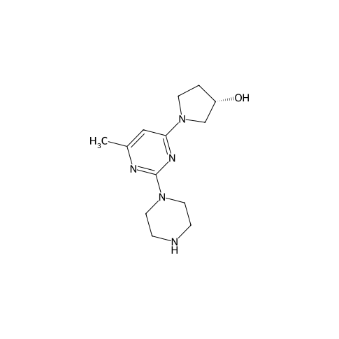 Cc1cc(N2CC[C@H](O)C2)nc(N2CCNCC2)n1